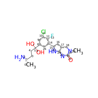 C[C@H](N)CCC(O)(O)c1cc(Cl)c(F)c(-c2cc3cn(C)c(=O)nc3[nH]2)c1